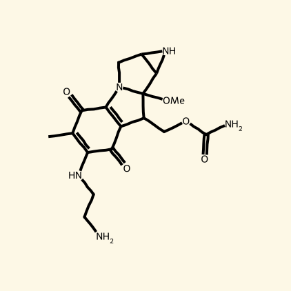 COC12C(COC(N)=O)C3=C(C(=O)C(C)=C(NCCN)C3=O)N1CC1NC12